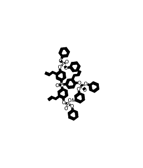 C=CCc1cc(P(=O)(c2ccc(OP(=O)(Oc3ccccc3)Oc3ccccc3)c(CC=C)c2)c2ccc(OP(=O)(Oc3ccccc3)Oc3ccccc3)c(CC=C)c2)ccc1OP(=O)(OC)Oc1ccccc1